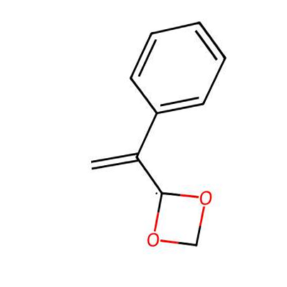 C=C([C]1OCO1)c1ccccc1